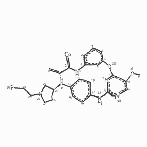 C=CC(=O)Nc1cccc(Oc2nc(Nc3ccc(N[C@H]4CCN(CCF)C4)cc3)ncc2OC)c1